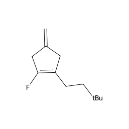 C=C1CC(F)=C(CCC(C)(C)C)C1